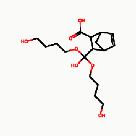 O=C(O)C1C2C=CC(C2)C1C(O)(OCCCCO)OCCCCO